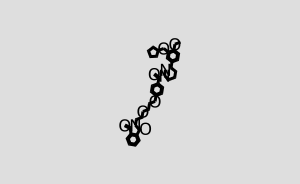 COc1ccc(C2=NN(C(=O)c3ccc(OCCOCCN4C(=O)c5ccccc5C4=O)cc3)CCC2)cc1OC1CCCC1